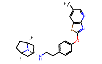 CC(=O)N1[C@@H]2CC[C@H]1C[C@H](NCCc1ccc(Oc3nc4ncc(C)cc4s3)cc1)C2